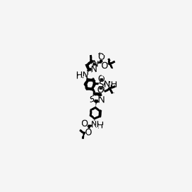 Cc1cc(Nc2ccc(-c3cnc([C@H]4CC[C@H](NC(=O)OC(C)C)CC4)s3)c(S(=O)(=O)NC(C)(C)C)c2)nn1C(=O)OC(C)(C)C